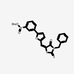 CO[N+](=O)c1cccc(-c2ccc(/C=C3/SC(=S)N(Cc4ccccc4)C3=O)o2)c1